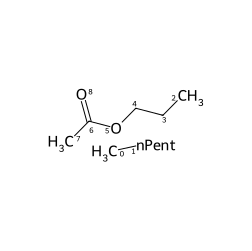 CCCCCC.CCCOC(C)=O